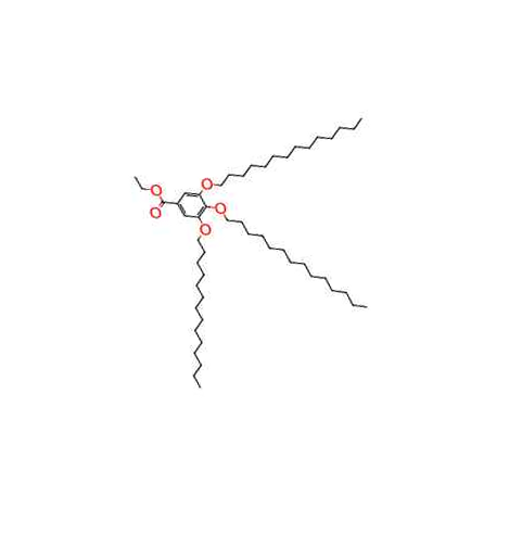 CCCCCCCCCCCCCCOc1cc(C(=O)OCC)cc(OCCCCCCCCCCCCCC)c1OCCCCCCCCCCCCCC